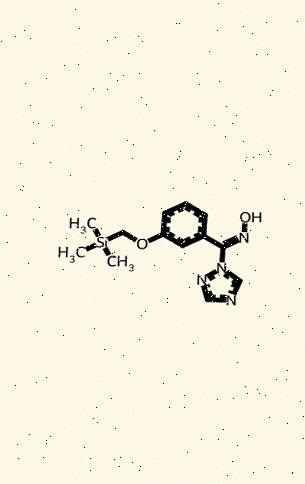 C[Si](C)(C)COc1cccc(/C(=N\O)n2cncn2)c1